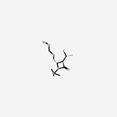 CCOCOC[C@@H]1[C@@H]([C@@H](C)F)C(=O)N1[Si](C)(C)C